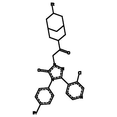 CCC1CC2CC(C1)CC(C(=O)Cn1nc(-c3ccncc3Cl)n(-c3ccc(C(C)C)cc3)c1=O)C2